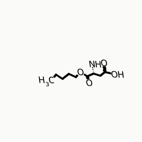 CCCCCOC(=O)[C@H](N)CC(=O)O